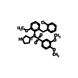 COc1ccc(S(=O)(=O)N(c2c(Cc3ccccc3Cl)cccc2OC)[C@H]2CCNC2)cc1OC